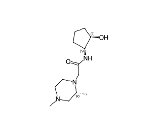 C[C@@H]1CN(C)CCN1CC(=O)N[C@H]1CCC[C@H]1O